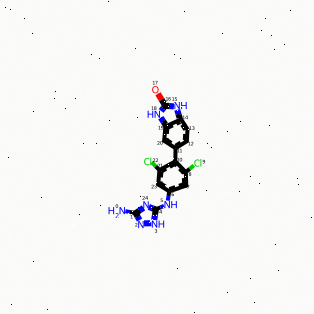 Nc1n[nH]c(Nc2cc(Cl)c(-c3ccc4[nH]c(=O)[nH]c4c3)c(Cl)c2)n1